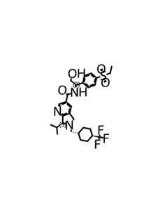 CCS(=O)(=O)c1ccc([C@H](CO)NC(=O)c2cnc3c(c2)CN(C[C@H]2CC[C@H](C(F)(F)F)CC2)[C@H]3C(C)C)cc1